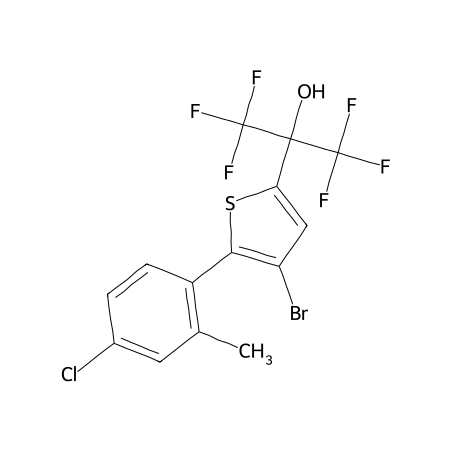 Cc1cc(Cl)ccc1-c1sc(C(O)(C(F)(F)F)C(F)(F)F)cc1Br